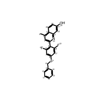 Cc1cc(-c2c(F)cc(SCc3ccccc3)cc2F)nc2cc(O)ccc12